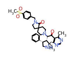 Cc1ncnc(C)c1C(=O)C([C@@H]1CNC[C@@H]1c1ccccc1)N1CCC2(CCN(Cc3ccc(S(C)(=O)=O)cc3)C2=O)CC1